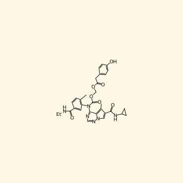 CCNC(=O)c1ccc(C)c(N(C(=O)OCOC(=O)Cc2ccc(O)cc2)c2ncnn3cc(C(=O)NC4CC4)c(C)c23)c1